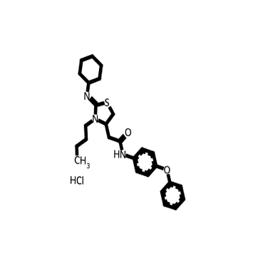 CCCCN1/C(=N/C2CCCCC2)SCC1CC(=O)Nc1ccc(Oc2ccccc2)cc1.Cl